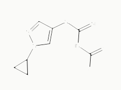 CC(=O)NC(=N)Nc1cnn(C2CC2)c1